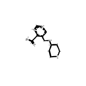 CC(C)C(=O)c1ncncc1CNC1CCOCC1